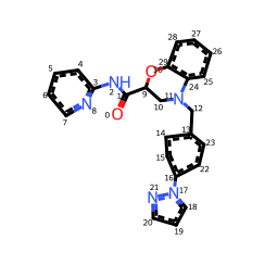 O=C(Nc1ccccn1)C1CN(Cc2ccc(-n3cccn3)cc2)c2ccccc2O1